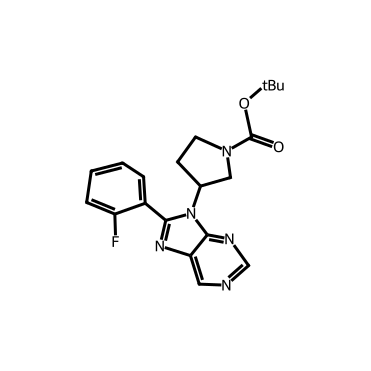 CC(C)(C)OC(=O)N1CCC(n2c(-c3ccccc3F)nc3cncnc32)C1